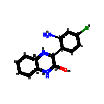 Nc1cc(Br)ccc1-c1nc2ccccc2[nH]c1=O